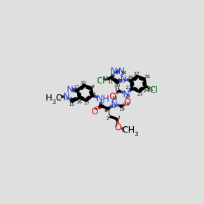 COCC[C@H](C(=O)Nc1ccc2nn(C)cc2c1)N1CON(c2cc(Cl)ccc2-n2cc(Cl)nn2)CO1